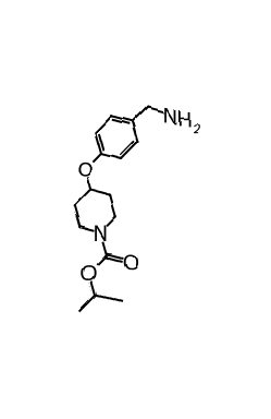 CC(C)OC(=O)N1CCC(Oc2ccc(CN)cc2)CC1